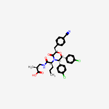 CCC[C@@H](C(=O)NC[C@H](C)C(=O)O)N1C(=O)[C@@H](Cc2ccc(C#N)cc2)O[C@H](c2ccc(Cl)cc2)[C@@H]1c1ccc(Cl)cc1